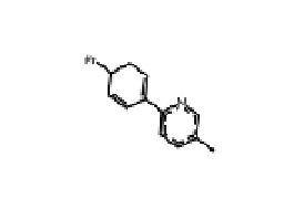 Cc1ccc(C2=CCC(C(C)C)C=C2)nc1